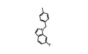 Cc1ccc(Cn2ccc3ccc(F)cc32)cc1